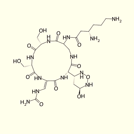 NCCC[C@H](N)CC(=O)NC1CNC(=O)[C@H]([C@H]2C[C@H](O)NON2)NC(=O)/C(=C/NC(N)=O)NC(=O)[C@H](CO)NC(=O)[C@H](CO)NC1=O